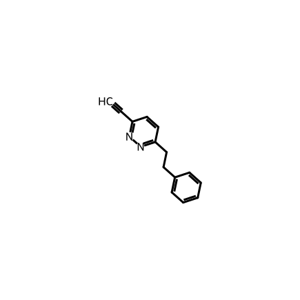 C#Cc1ccc(CCc2ccccc2)nn1